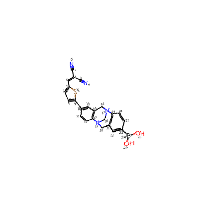 N#CC(C#N)=Cc1ccc(-c2ccc3c(c2)CN2CN3Cc3cc(B(O)O)ccc32)s1